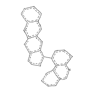 c1ccc2cc3cc4c(-c5cccc6ncc7ccccc7c56)cccc4cc3cc2c1